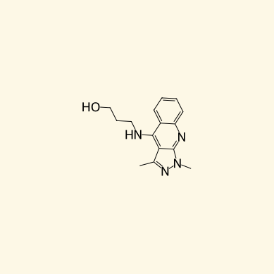 Cc1nn(C)c2nc3ccccc3c(NCCCO)c12